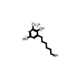 CC(C)CCCCCCc1cc(C(C)(C)C)cc(C(=O)O)c1O